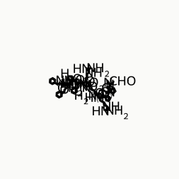 N=C(N)NCCC[C@H](NC(=O)[C@@H](N)CCCC(N)C(=O)[C@H](CCCNC(=N)N)N(C(=O)[C@H](Cc1ccccc1)NC(=O)[C@@H]1CCCN1C(=O)[C@H](COCc1ccccc1)NC(=O)[C@@H](N)Cc1ccccc1)[N+](=O)[O-])C(=O)N1CCC[C@H]1C(=O)N1CCC[C@H]1C(=O)N(C[C]=O)[N+](=O)[O-]